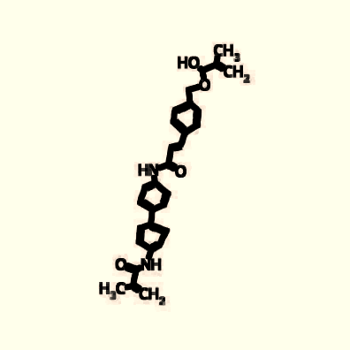 C=C(C)C(=O)Nc1ccc(-c2ccc(NC(=O)/C=C/c3ccc(COC(O)C(=C)C)cc3)cc2)cc1